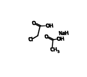 CC(=O)O.O=C(O)CCl.[NaH]